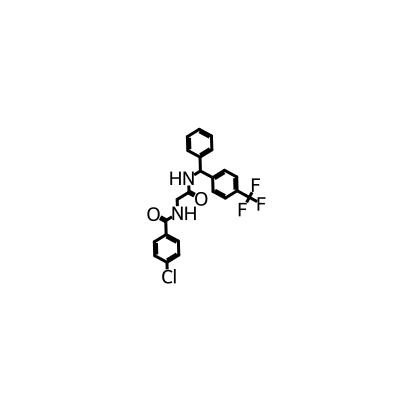 O=C(CNC(=O)c1ccc(Cl)cc1)NC(c1ccccc1)c1ccc(C(F)(F)F)cc1